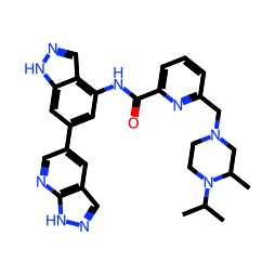 CC(C)N1CCN(Cc2cccc(C(=O)Nc3cc(-c4cnc5[nH]ncc5c4)cc4[nH]ncc34)n2)CC1C